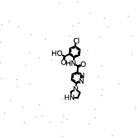 O=C(Nc1ccc(Cl)cc1C(=O)O)c1ccc(N2CCNC2)nn1